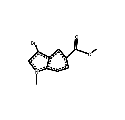 COC(=O)c1ccc2c(c1)c(Br)cn2C